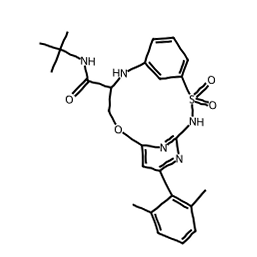 Cc1cccc(C)c1-c1cc2nc(n1)NS(=O)(=O)c1cccc(c1)NC(C(=O)NC(C)(C)C)CO2